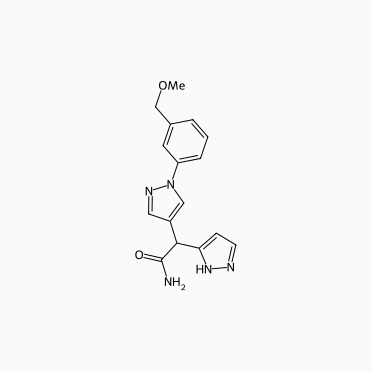 COCc1cccc(-n2cc(C(C(N)=O)c3ccn[nH]3)cn2)c1